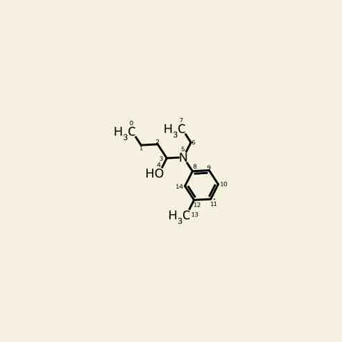 CCCC(O)N(CC)c1cc[c]c(C)c1